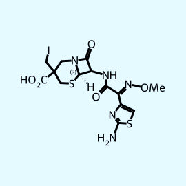 CON=C(C(=O)NC1C(=O)N2CC(CI)(C(=O)O)CS[C@H]12)c1csc(N)n1